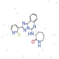 O=C1NCCCC[C@H]1Nc1nc2ccccc2c2nc(-c3cccnc3F)nn12